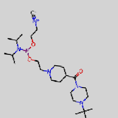 [C-]#[N+]CCOP(OCCN1CCC(C(=O)N2CCN(C(C)(C)C)CC2)CC1)N(C(C)C)C(C)C